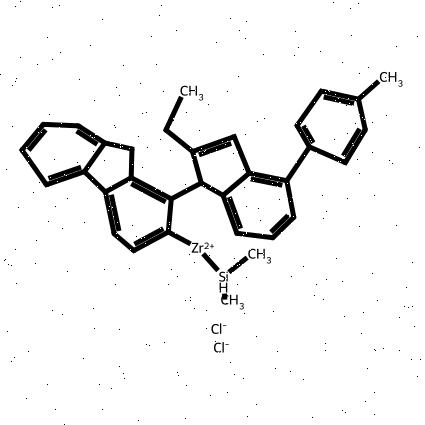 CCC1=Cc2c(-c3ccc(C)cc3)cccc2C1c1[c]([Zr+2][SiH](C)C)ccc2c1Cc1ccccc1-2.[Cl-].[Cl-]